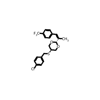 CC(=Cc1ccc(C(F)(F)F)cc1)[C@H]1OC[C@H](SCc2ccc(Cl)cc2)CO1